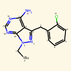 CC(C)(C)Cn1nc(Cc2ccccc2Cl)c2c(N)ncnc21